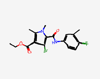 CCOC(=O)c1c(Br)c(C(=O)Nc2ccc(F)c(C)c2)n(C)c1C